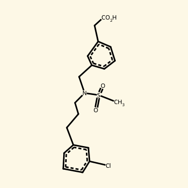 CS(=O)(=O)N(CCCc1cccc(Cl)c1)Cc1cccc(CC(=O)O)c1